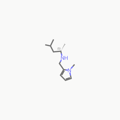 CC(C)C[C@H](C)NCc1cccn1C